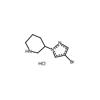 Brc1cnn(C2CCCNC2)c1.Cl